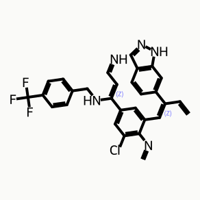 C=C/C(=C/c1cc(/C(=C/C=N)NCc2ccc(C(F)(F)F)cc2)cc(Cl)c1N=C)c1ccc2cn[nH]c2c1